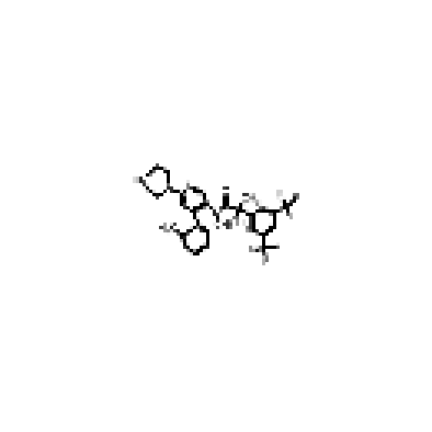 Cc1ccccc1-c1cc(N2CCNCC2)ncc1N(C)C(=O)C(C)(C)c1cc(C(F)(F)F)cc(C(F)(F)F)c1